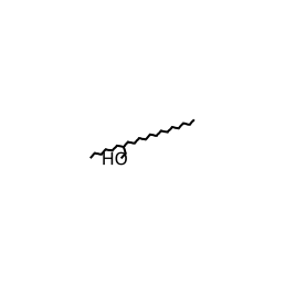 CCCCCCCCCCCCCC(CO)CCCCCC